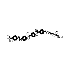 CCC(C)C(=O)OCCCOCc1ccc(C(=O)Oc2ccc(C(=O)Oc3ccc(N=Nc4ccc(C(CC)CC)cc4)cc3)cc2)cc1